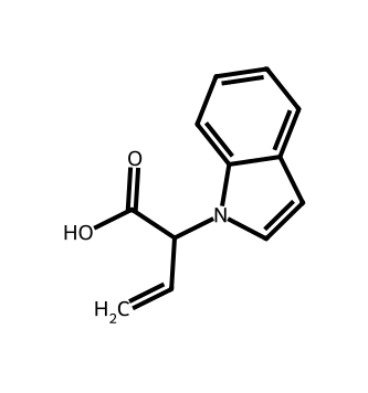 C=CC(C(=O)O)n1ccc2ccccc21